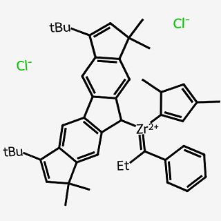 CC/[C](c1ccccc1)=[Zr+2](/[C]1=CC(C)=CC1C)[CH]1c2cc3c(cc2-c2cc4c(cc21)C(C)(C)C=C4C(C)(C)C)C(C(C)(C)C)=CC3(C)C.[Cl-].[Cl-]